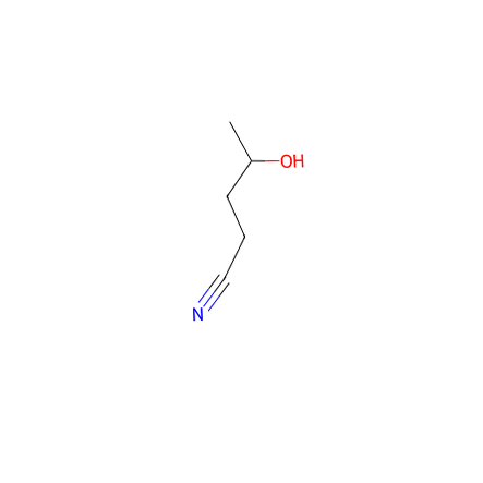 CC(O)CCC#N